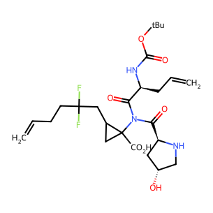 C=CCCC(F)(F)CC1CC1(C(=O)O)N(C(=O)[C@@H]1C[C@@H](O)CN1)C(=O)[C@H](CC=C)NC(=O)OC(C)(C)C